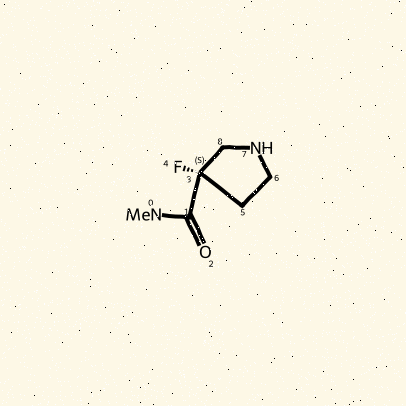 CNC(=O)[C@]1(F)CCNC1